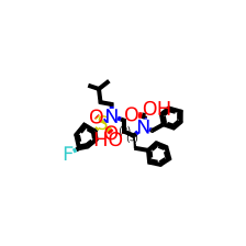 CC(C)CCN(C[C@@H](O)[C@H](Cc1ccccc1)N(Cc1ccccc1)C(=O)O)S(=O)(=O)c1ccc(F)cc1